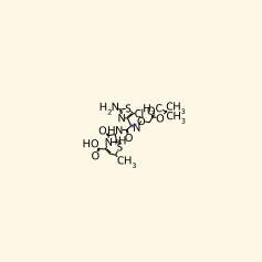 CC1C=C(C(=O)O)N2C(=O)C(NC(=O)/C(=N/OCC(=O)OC(C)(C)C)c3nc(N)sc3Cl)[C@H]2S1